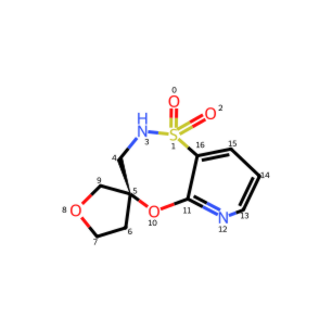 O=S1(=O)NC[C@]2(CCOC2)Oc2ncccc21